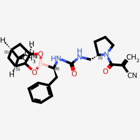 C=C(C#N)C(=O)N1CCC[C@H]1CNC(=O)N[C@@H](Cc1ccccc1)B1OC2[C@H]3C[C@@H](C[C@H]2O1)C3(C)C